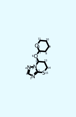 c1nc2n(n1)C(OC1CCCCO1)CCS2